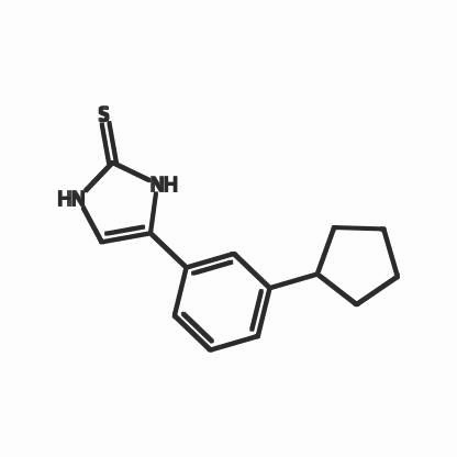 S=c1[nH]cc(-c2cccc(C3CCCC3)c2)[nH]1